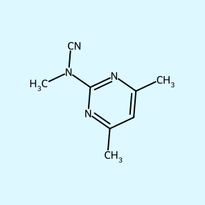 Cc1cc(C)nc(N(C)C#N)n1